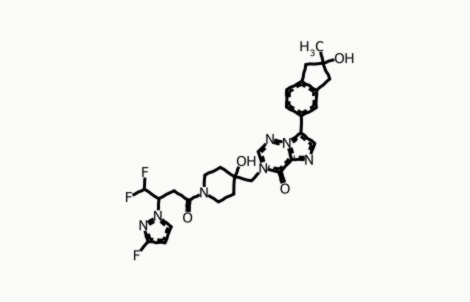 CC1(O)Cc2ccc(-c3cnc4c(=O)n(CC5(O)CCN(C(=O)CC(C(F)F)n6ccc(F)n6)CC5)cnn34)cc2C1